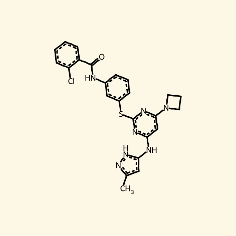 Cc1cc(Nc2cc(N3CCC3)nc(Sc3cccc(NC(=O)c4ccccc4Cl)c3)n2)[nH]n1